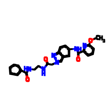 COc1cccc(C(=O)Nc2ccc3nn(CC(=O)NCCNC(=O)c4ccccc4)cc3c2)n1